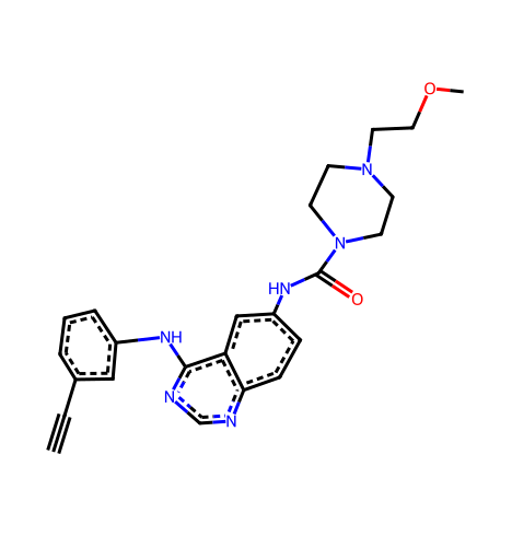 C#Cc1cccc(Nc2ncnc3ccc(NC(=O)N4CCN(CCOC)CC4)cc23)c1